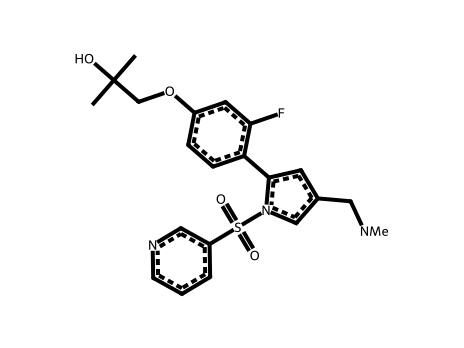 CNCc1cc(-c2ccc(OCC(C)(C)O)cc2F)n(S(=O)(=O)c2cccnc2)c1